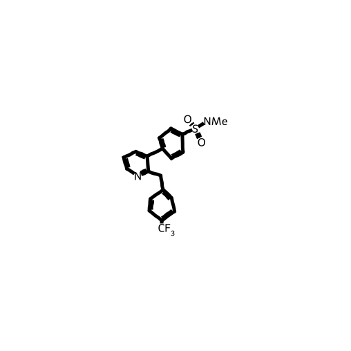 CNS(=O)(=O)c1ccc(-c2cccnc2Cc2ccc(C(F)(F)F)cc2)cc1